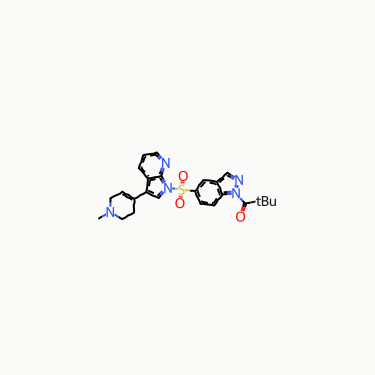 CN1CC=C(c2cn(S(=O)(=O)c3ccc4c(cnn4C(=O)C(C)(C)C)c3)c3ncccc23)CC1